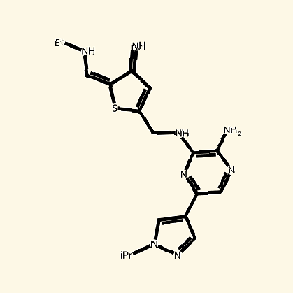 CCN/C=C1/SC(CNc2nc(-c3cnn(C(C)C)c3)cnc2N)=CC1=N